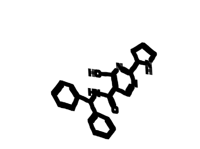 O=C(NC(c1ccccc1)c1ccccc1)c1cnc(C2CC=CN2)nc1O